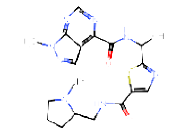 CC(NC(=O)c1ncnc2c1cnn2C)c1ncc(C(=O)NCC2CCCN2C(C)C)s1